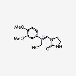 COc1ccc(/C(=C/N2CCNC2=O)CC#N)cc1OC